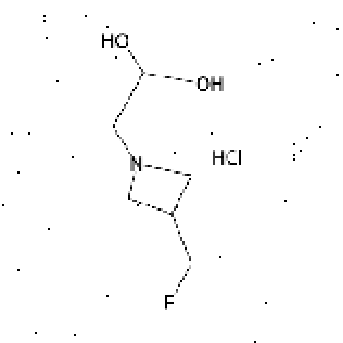 Cl.OC(O)CN1CC(CF)C1